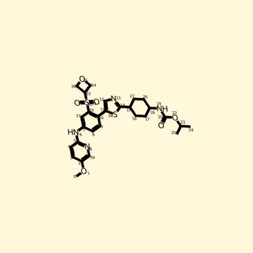 COc1ccc(Nc2ccc(-c3cnc(C4CCC(NC(=O)OC(C)C)CC4)s3)c(S(=O)(=O)C3COC3)c2)nc1